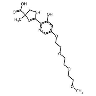 COCCOCCOCCOc1cnc(C2=NC(C)(C(=O)O)CN2)c(O)c1